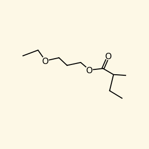 CCOCCCOC(=O)C(C)CC